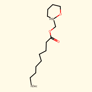 CCCCCCCCCCCCCCCCCC(=O)OC[SiH]1CCCCO1